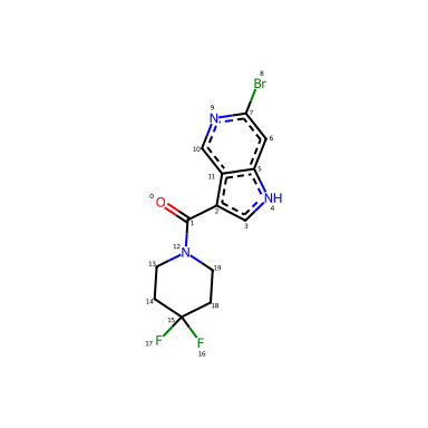 O=C(c1c[nH]c2cc(Br)ncc12)N1CCC(F)(F)CC1